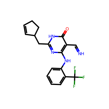 N=Cc1c(Nc2ccccc2C(F)(F)F)nc(CC2C=CCC2)[nH]c1=O